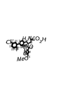 COCc1cc(C(=O)NC(Cc2ccc(-c3cc(Cl)ccc3F)cc2Cl)CC(N)C(=O)O)no1